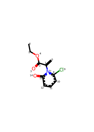 C=C(C(=O)OCC)n1c(Cl)cccc1=O